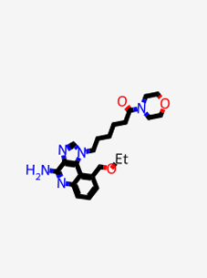 CCOCc1cccc2nc(N)c3ncn(CCCCCC(=O)N4CCOCC4)c3c12